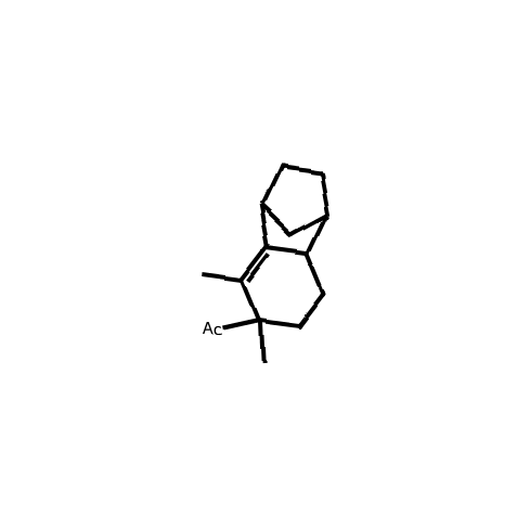 CC(=O)C1(C)CCC2C(=C1C)C1CCC2C1